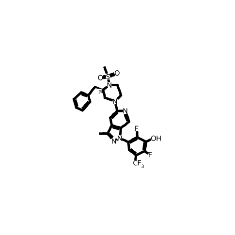 Cc1nn(-c2cc(C(F)(F)F)c(F)c(O)c2F)c2cnc(N3CCN(S(C)(=O)=O)[C@H](Cc4ccccc4)C3)cc12